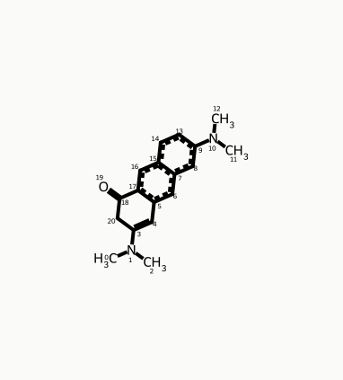 CN(C)C1=Cc2cc3cc(N(C)C)ccc3cc2C(=O)C1